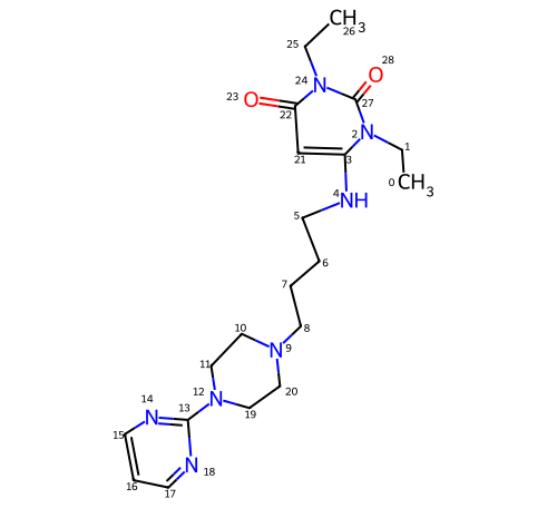 CCn1c(NCCCCN2CCN(c3ncccn3)CC2)cc(=O)n(CC)c1=O